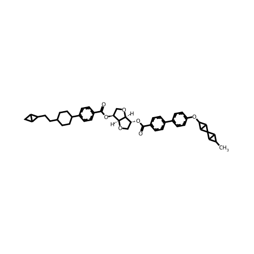 CC1C2C1C21C2C(Oc3ccc(-c4ccc(C(=O)O[C@@H]5CO[C@@H]6[C@H]5OC[C@@H]6OC(=O)c5ccc(C6CCC(CCC7C8CC78)CC6)cc5)cc4)cc3)C21